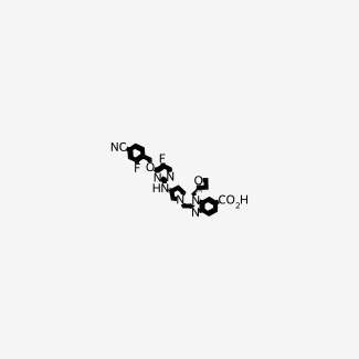 N#Cc1ccc(COc2nc(N[C@@H]3CCN(Cc4nc5ccc(C(=O)O)cc5n4C[C@@H]4CCO4)C3)ncc2F)c(F)c1